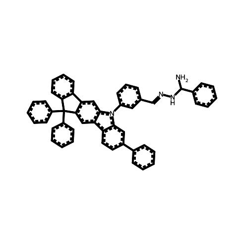 NC(N/N=C/c1cccc(-n2c3cc(-c4ccccc4)ccc3c3cc4c(cc32)-c2ccccc2C4(c2ccccc2)c2ccccc2)c1)c1ccccc1